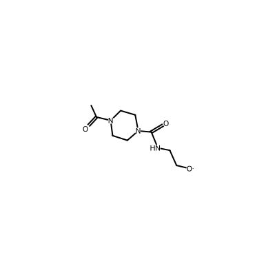 CC(=O)N1CCN(C(=O)NCC[O])CC1